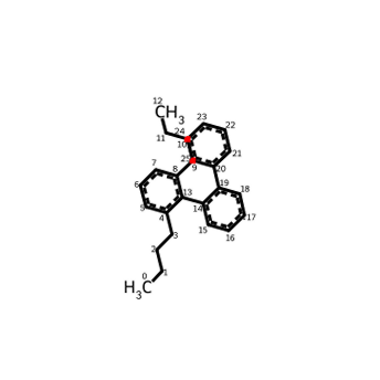 CCCCc1cccc(CCCC)c1-c1cc[c]cc1-c1ccccc1